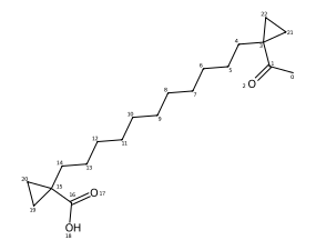 CC(=O)C1(CCCCCCCCCCCC2(C(=O)O)CC2)CC1